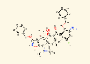 CN(C)[C@@H]1c2onc(OCc3ccccc3)c2C(=O)[C@@]2(O)C(O)=C3C(=O)c4c(c(F)cc(N)c4OCc4ccccc4)C[C@H]3C[C@@H]12